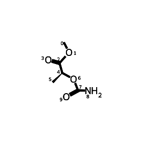 COC(=O)[C@H](C)OC(N)=O